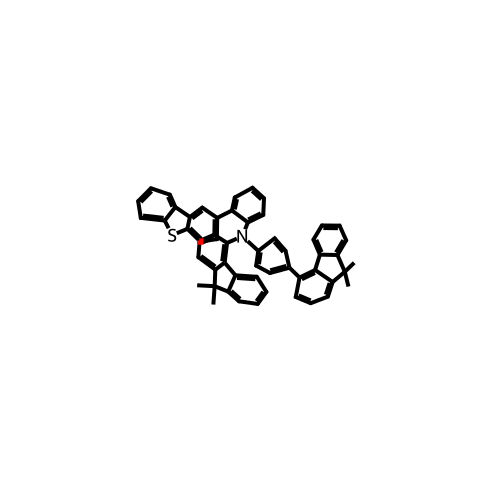 CC1(C)c2ccccc2-c2c(-c3ccc(N(c4ccccc4-c4ccc5sc6ccccc6c5c4)c4cccc5c4-c4ccccc4C5(C)C)cc3)cccc21